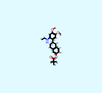 CCNc1cc(OC)c(OC)cc1C1CCc2cc(OC(=O)C(C)(C)C)ccc2C1